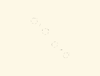 C1=C(c2ccc(CCc3ccc(C4=Cc5ncccc5C4)cc3)cc2)Cc2cccnc21